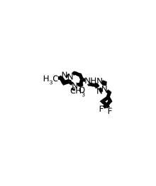 Cc1cc2n(n1)CCC(NCc1ncn(CC3CC(F)(F)C3)n1)C(=O)N2C